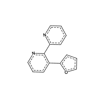 c1ccc(-c2ncccc2-c2ccco2)nc1